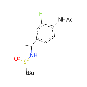 CC(=O)Nc1ccc(C(C)N[S@@+]([O-])C(C)(C)C)cc1F